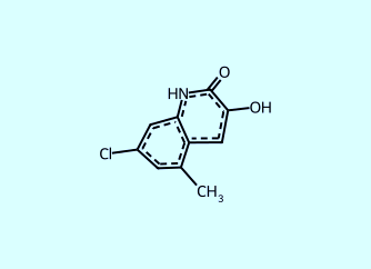 Cc1cc(Cl)cc2[nH]c(=O)c(O)cc12